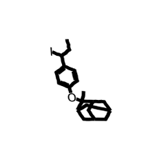 CCC(I)c1ccc(OC2(C)C3CC4CC(C3)CC2C4)cc1